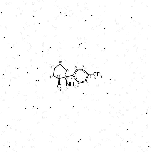 N[C@]1(c2ccc(C(F)(F)F)cc2)CCCCC1=O